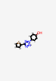 Oc1ccc(-n2nnc(-c3cccs3)n2)cc1